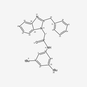 CC(C)(C)c1cc(NC(=O)Cn2c(Cc3ccccc3)nc3ccccc32)cc(C(C)(C)C)c1